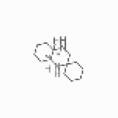 C1CCC2(CC1)CN[C@H]1CCCC[C@@H]1N2